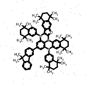 CC1(C)CCC(C)(C)c2cc(N3c4cc5c(cc4B4c6oc7cc8c(cc7c6N(c6ccc7c(c6)C(C)(C)CCC7(C)C)c6cc(-c7ccc9c(c7)-c7ccccc7C9(C)C)cc3c64)C(C)(C)CCC8(C)C)C(C)(C)CCC5(C)C)ccc21